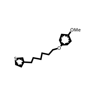 COc1ccc(OCCCCCCc2ccsc2)cc1